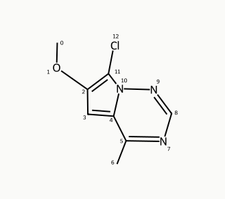 COc1cc2c(C)ncnn2c1Cl